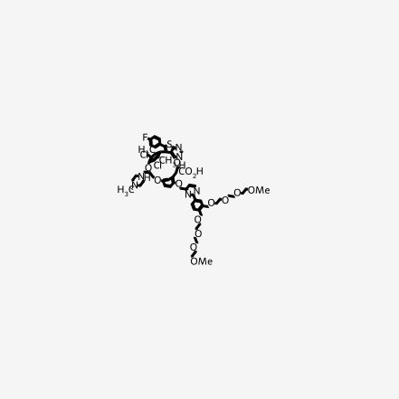 COCCOCCOCCOCc1ccc(-c2nccc(COc3ccc4cc3C[C@H](C(=O)O)Oc3ncnc5sc(-c6ccc(F)cc6)c(c35)-c3c(C)c(Cl)c(c(Cl)c3C)O[C@H](CN3CCN(C)CC3)CO4)n2)cc1COCCOCCOCCOC